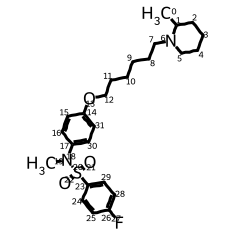 CC1CCCCN1CCCCCCOc1ccc(N(C)S(=O)(=O)c2ccc(F)cc2)cc1